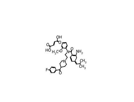 COc1ccccc1N(CCN1CCC(C(=O)c2ccc(F)cc2)CC1)C(=O)C1=C(N)CC(=CC(C)C)C=C1.O=C(O)C=CC(=O)O